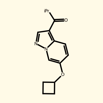 CC(C)C(=O)c1cnn2cc(OC3CCC3)ccc12